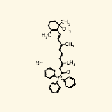 CC1=C(/C=C/C(C)=C/C=C/C(C)=C/C(=O)[P+](c2ccccc2)(c2ccccc2)c2ccccc2)C(C)(C)CCC1.[Br-]